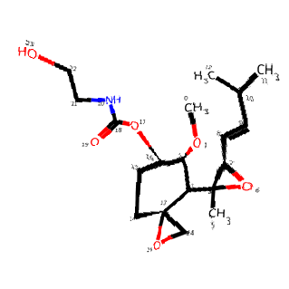 CO[C@H]1C(C2(C)O[C@@H]2/C=C/C(C)C)[C@]2(CC[C@H]1OC(=O)NCCO)CO2